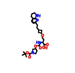 CC(C)(C)OC(=O)N1CCC(OC(=O)NC(CCOC2CC(CCc3ccc4c(n3)NCCC4)C2)C(=O)O)C1